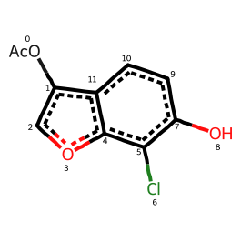 CC(=O)Oc1coc2c(Cl)c(O)ccc12